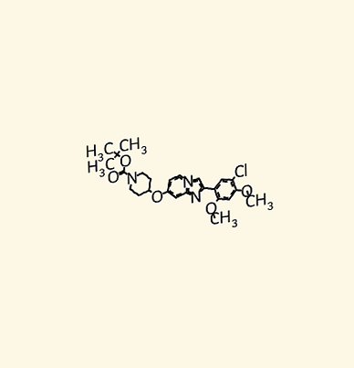 COc1cc(OC)c(-c2cn3ccc(OC4CCN(C(=O)OC(C)(C)C)CC4)cc3n2)cc1Cl